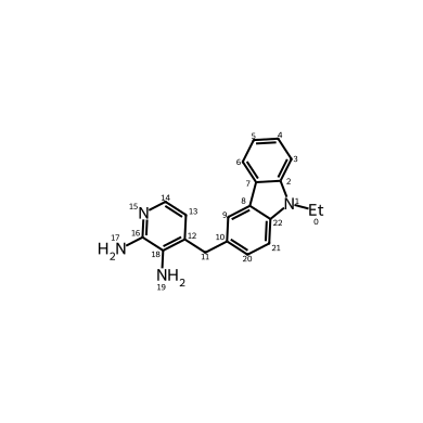 CCn1c2ccccc2c2cc(Cc3ccnc(N)c3N)ccc21